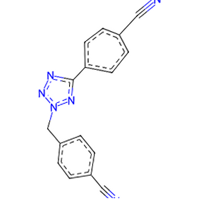 N#Cc1ccc(Cn2nnc(-c3ccc(C#N)cc3)n2)cc1